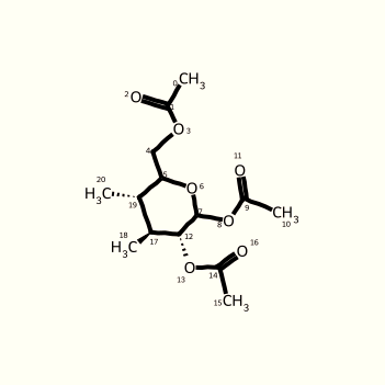 CC(=O)OCC1OC(OC(C)=O)[C@H](OC(C)=O)[C@@H](C)[C@@H]1C